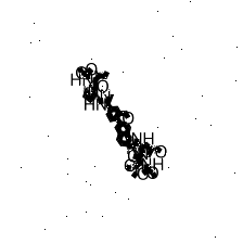 CC[C@H](C)C(NC(=O)OC)C(=O)N1[C@@H](C)CC[C@H]1c1ncc(-c2ccc3c(c2)COc2cc4c(ccc5nc([C@@H]6C[C@H](COC)CN6C(=O)[C@@H](NC(=O)OC)[C@@H](CC)OC)[nH]c54)cc2-3)[nH]1